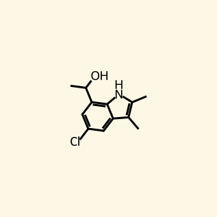 Cc1[nH]c2c(C(C)O)cc(Cl)cc2c1C